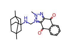 C[n+]1nc2c(n1CNC13CC4CC(C)(CC(C)(C4)C1)C3)C(=O)c1ccccc1C2=O